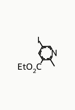 CCOC(=O)c1cc(I)cnc1C